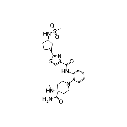 CNC1(C(N)=O)CCN(c2ccccc2NC(=O)c2csc(N3CC[C@@H](NS(C)(=O)=O)C3)n2)CC1